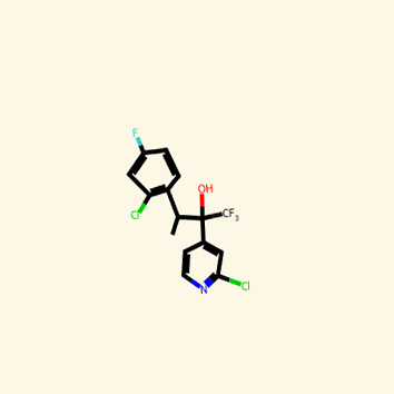 CC(c1ccc(F)cc1Cl)C(O)(c1ccnc(Cl)c1)C(F)(F)F